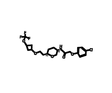 O=C(COc1ccc(Cl)cc1)N[C@H]1CC[C@H](CCOC2CC(OC(F)(F)F)C2)OC1